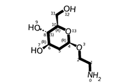 NCCO[C@H]1C[C@@H](O)[C@H](O)[C@@H](CO)O1